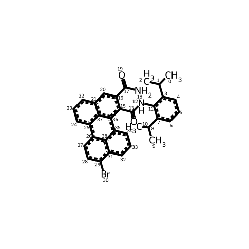 CC(C)c1cccc(C(C)C)c1NC(=O)c1c(C(N)=O)cc2cccc3c4ccc(Br)c5cccc(c1c23)c54